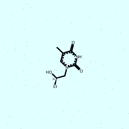 CC[C@@H](O)Cn1cc(C)c(=O)[nH]c1=O